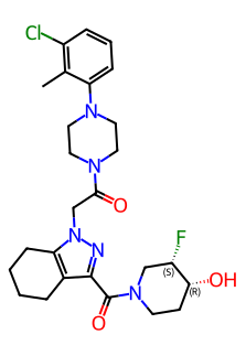 Cc1c(Cl)cccc1N1CCN(C(=O)Cn2nc(C(=O)N3CC[C@@H](O)[C@@H](F)C3)c3c2CCCC3)CC1